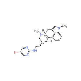 CN1C[C@H](CCNc2ncc(Br)cn2)C[C@@H]2c3cccc4c3c(cn4C)C[C@H]21